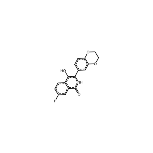 O=c1[nH]c(-c2ccc3c(c2)OCCO3)c(O)c2ccc(F)cc12